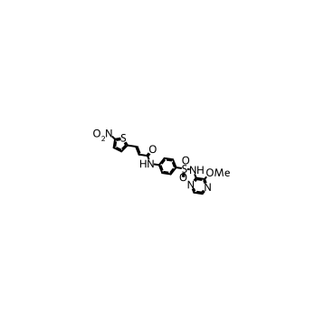 COc1nccnc1NS(=O)(=O)c1ccc(NC(=O)/C=C/c2ccc([N+](=O)[O-])s2)cc1